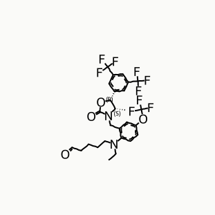 CCN(CCCCC=O)c1ccc(OC(F)(F)F)cc1CN1C(=O)O[C@H](c2cc(C(F)(F)F)cc(C(F)(F)F)c2)[C@@H]1C